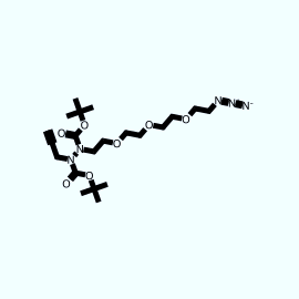 C#CCN(C(=O)OC(C)(C)C)N(CCOCCOCCOCCN=[N+]=[N-])C(=O)OC(C)(C)C